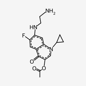 CC(=O)Oc1cn(C2CC2)c2cc(NCCN)c(F)cc2c1=O